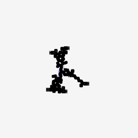 CCN(/C(=C/C=C(/C=C/C1=[N+](CC)c2ccc3c(S(=O)(=O)O)cc(S(=O)(=O)O)cc3c2C1(C)C)c1ccc(C(=O)NCCCCCC(=O)O)cn1)C(C)C)c1ccc2c(S(=O)(=O)O)cc(S(=O)(=O)O)cc2c1